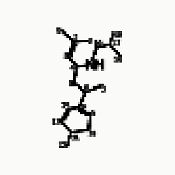 CC(C)=CC(C[C@@H](C)C1=CCC(C)C=C1)NCC(C)C